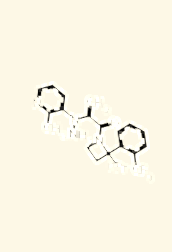 C=C(C(=O)N1CCC1(CCC)c1ccccc1C(F)(F)F)N(N)c1cccnc1C